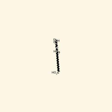 CCNC(=O)COCCOCCNC(=O)CCCCCCCCCCCCCCCCC(=O)O